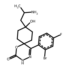 CC(N)CC1(O)CCC2(CC1)OC(=O)NN=C2c1ccc(F)cc1Br